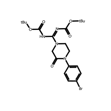 CC(C)(C)OC(=O)/N=C(/NC(=O)OC(C)(C)C)N1CCN(c2ccc(Br)cc2)C(=O)C1